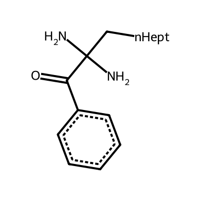 CCCCCCCCC(N)(N)C(=O)c1ccccc1